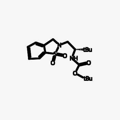 CC(C)(C)OC(=O)N[C@H](CN1Cc2ccccc2S1(=O)=O)C(C)(C)C